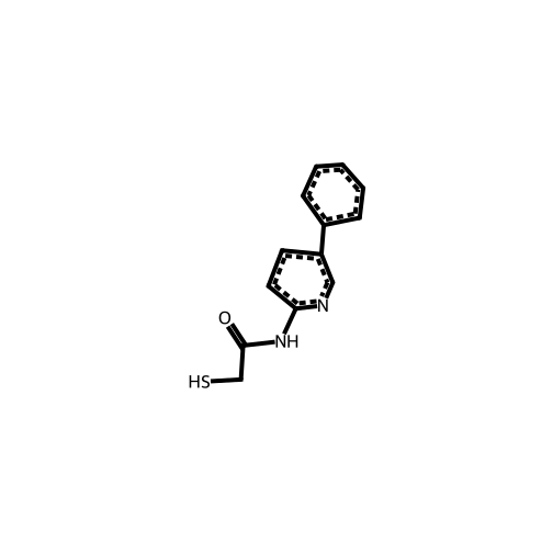 O=C(CS)Nc1ccc(-c2ccccc2)cn1